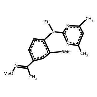 CCN(c1nc(C)cc(C)n1)c1ccc(/C(C)=N/OC)cc1SC